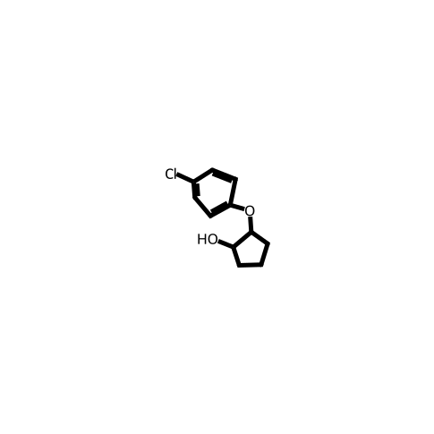 OC1CCCC1Oc1ccc(Cl)cc1